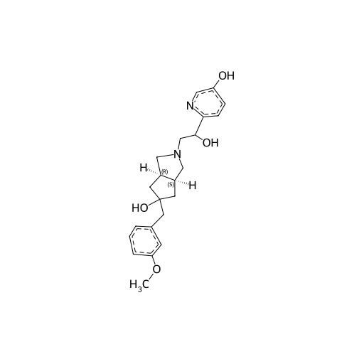 COc1cccc(CC2(O)C[C@H]3CN(CC(O)c4ccc(O)cn4)C[C@H]3C2)c1